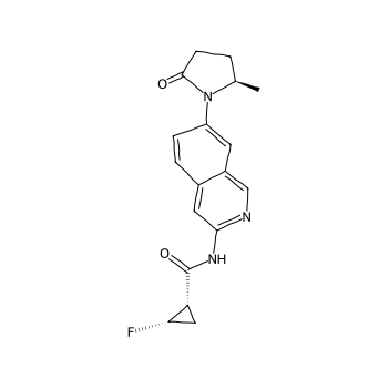 C[C@@H]1CCC(=O)N1c1ccc2cc(NC(=O)[C@@H]3C[C@@H]3F)ncc2c1